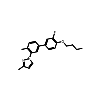 CCCCOc1ccc(-c2ccc(C)c(-n3ccc(C)n3)c2)cc1F